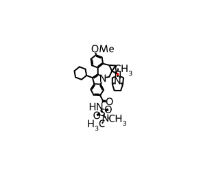 COc1ccc2c(c1)C1CC1(CN1C3CCC1CN(C)C3)Cn1c-2c(C2CCCCC2)c2ccc(C(=O)NS(=O)(=O)N(C)C)cc21